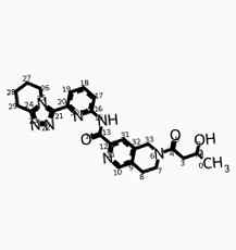 C[C@H](O)CC(=O)N1CCc2cnc(C(=O)Nc3cccc(-c4nnc5n4CCCC5)n3)cc2C1